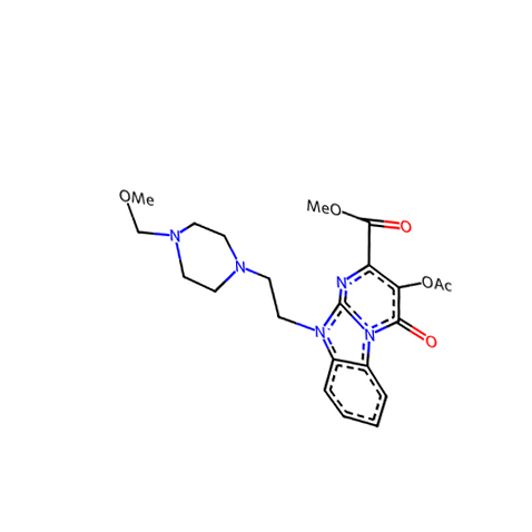 COCN1CCN(CCn2c3ccccc3n3c(=O)c(OC(C)=O)c(C(=O)OC)nc23)CC1